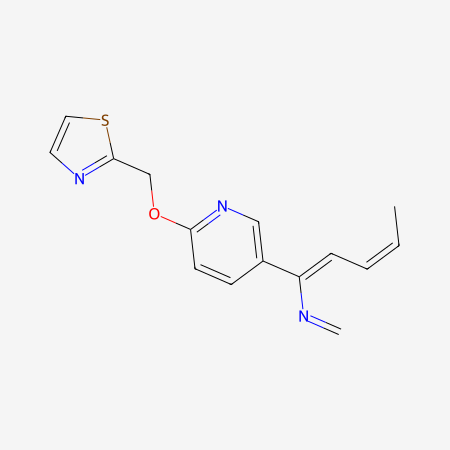 C=N/C(=C\C=C/C)c1ccc(OCc2nccs2)nc1